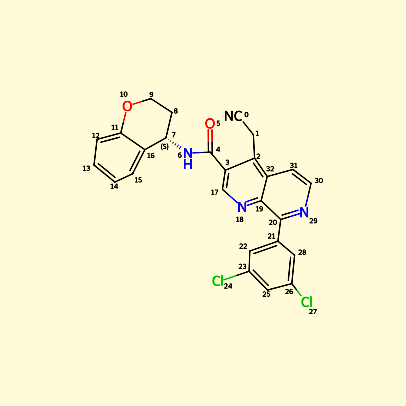 N#CCc1c(C(=O)N[C@H]2CCOc3ccccc32)cnc2c(-c3cc(Cl)cc(Cl)c3)nccc12